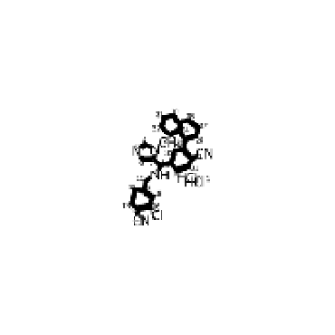 Cl.Cl.Cn1cncc1C(NCc1ccc(C#N)c(Cl)c1)c1ccc(C#N)c(-c2cccc3ccccc23)c1